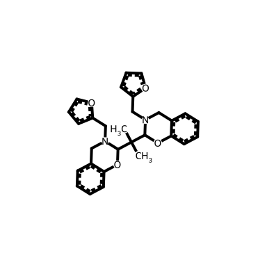 CC(C)(C1Oc2ccccc2CN1Cc1ccco1)C1Oc2ccccc2CN1Cc1ccco1